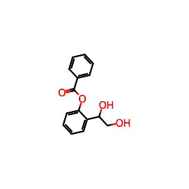 O=C(Oc1ccccc1C(O)CO)c1ccccc1